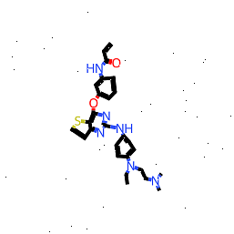 C=CC(=O)Nc1cccc(Oc2nc(Nc3ccc(N(CC)CCN(C)C)cc3)nc3ccsc23)c1